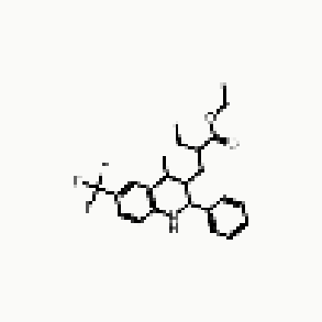 CCOC(=O)C(CC)CC1C(C)c2cc(C(F)(F)F)ccc2NC1c1ccccc1